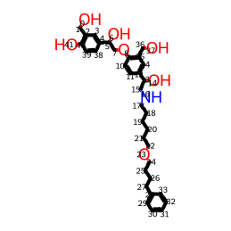 OCc1cc(C(O)COc2ccc(C(O)CNCCCCCCOCCCCc3ccccc3)cc2CO)ccc1O